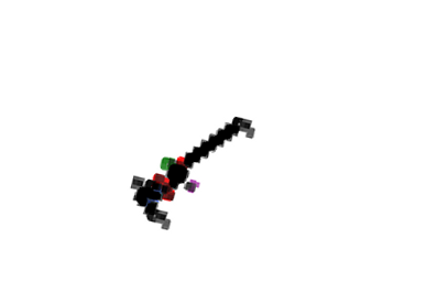 CCCCCCCCCCCCCCOc1ccc(COC(=O)N(Cc2cccc[n+]2CCC)C(C)=O)cc1Cl.[I-]